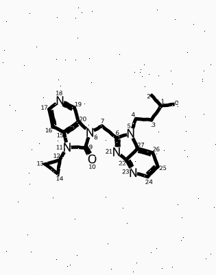 CC(C)CCn1c(Cn2c(=O)n(C3CC3)c3ccncc32)nc2ncccc21